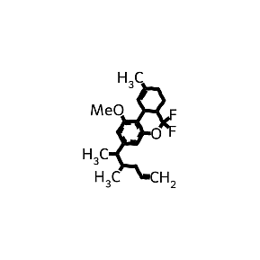 C=CCC(C)C(C)c1cc(OC)c2c(c1)OC(F)(F)C1CCC(C)=CC21